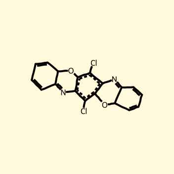 Clc1c2c(c(Cl)c3c1OC1C=CC=CC1=N3)OC1C=CC=CC1=N2